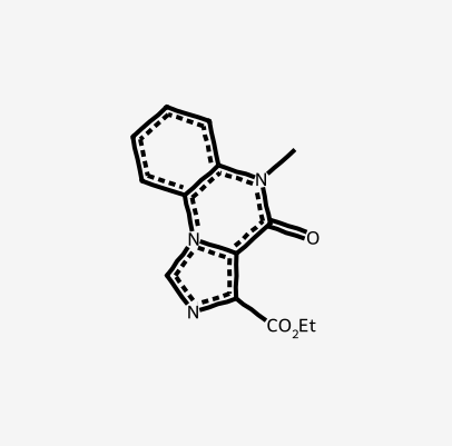 CCOC(=O)c1ncn2c1c(=O)n(C)c1ccccc12